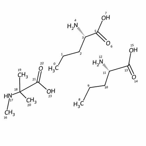 CCC[C@H](N)C(=O)O.CCC[C@H](N)C(=O)O.CNC(C)(C)C(=O)O